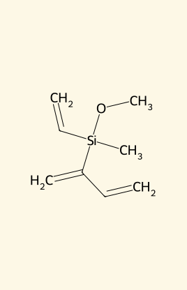 C=CC(=C)[Si](C)(C=C)OC